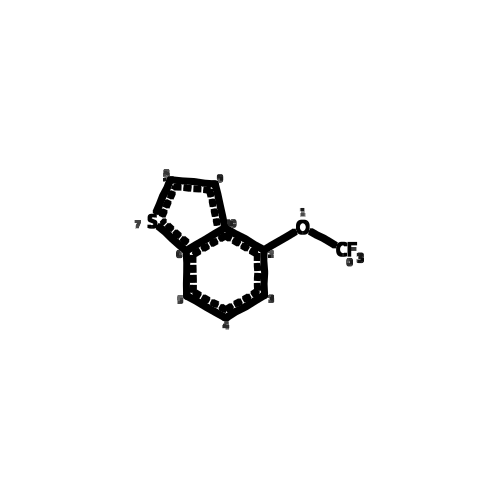 FC(F)(F)Oc1cccc2s[c]cc12